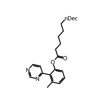 CCCCCCCCCCCCCCCC(=O)Oc1cccc(C)c1-c1ccncn1